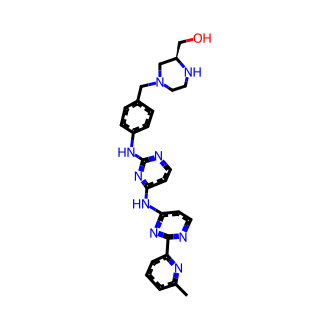 Cc1cccc(-c2nccc(Nc3ccnc(Nc4ccc(CN5CCN[C@H](CO)C5)cc4)n3)n2)n1